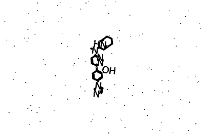 CN(c1ccc(-c2ccc(-n3ccnc3)cc2O)nn1)C1CC2CCCC(C1)N2